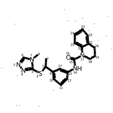 CC(Sc1nncn1C)c1cccc(NC(=O)N2CCCc3ccccc32)c1